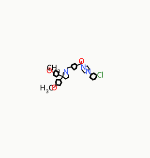 COc1ccc(C2(c3ccc(OC)cc3)CCCN(Cc3ccc(C(=O)N4CCN(c5cccc(Cl)c5)CC4)cc3)C2)cc1